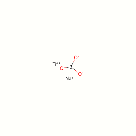 [Na+].[O-]B([O-])[O-].[Ti+4]